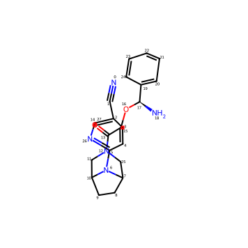 N#Cc1ccc(N2C3CCC2CN(C(=O)CO[C@H](N)c2ccccc2)C3)nc1